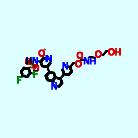 COc1ncc(-c2ccc3nccc(-c4ccc(COC(=O)NCCOCCO)nc4)c3c2)cc1NS(=O)(=O)c1ccc(F)cc1F